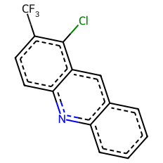 FC(F)(F)c1ccc2nc3ccccc3cc2c1Cl